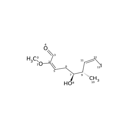 CO/C(C=O)=C/C[C@H](O)[C@@H](C)/C=C\I